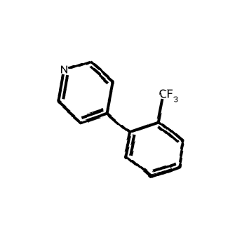 FC(F)(F)c1ccccc1-c1ccncc1